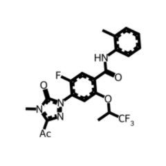 CC(=O)c1nn(-c2cc(OC(C)C(F)(F)F)c(C(=O)Nc3ccccc3C)cc2F)c(=O)n1C